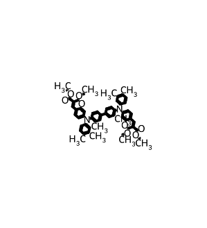 CCOC(=O)C(=Cc1ccc(N(c2ccc(C)c(C)c2)c2ccc(-c3ccc(N(c4ccc(C=C(C(=O)OCC)C(=O)OCC)cc4)c4ccc(C)c(C)c4)c(C)c3)cc2C)cc1)C(=O)OCC